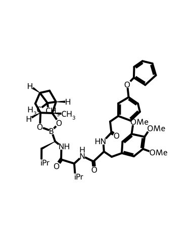 COc1cc(CC(NC(=O)Cc2cccc(Oc3ccccc3)c2)C(=O)NC(C(=O)N[C@@H](CC(C)C)B2O[C@@H]3C[C@@H]4C[C@@H](C4(C)C)[C@]3(C)O2)C(C)C)cc(OC)c1OC